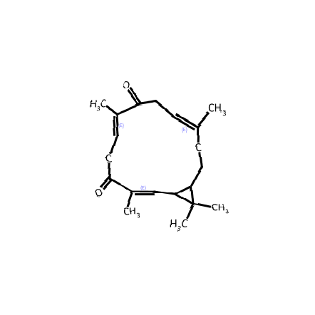 C/C1=C\CC(=O)/C(C)=C/CC(=O)/C(C)=C/C2C(CC1)C2(C)C